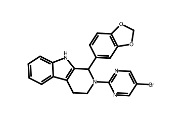 Brc1cnc(N2CCc3c([nH]c4ccccc34)C2c2ccc3c(c2)OCO3)nc1